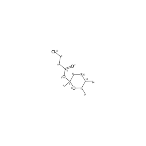 CC1OC(C)(OC(=O)CCCl)CSC1C